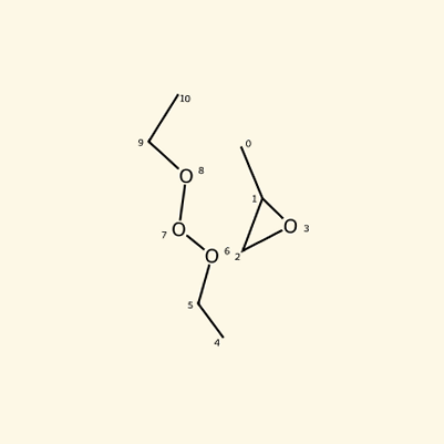 CC1CO1.CCOOOCC